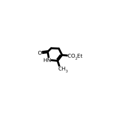 CCOC(=O)C1=C(C)NC(=O)CC1